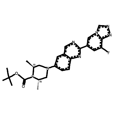 C[C@H]1CN(c2ccc3nc(-c4cc(F)c5nncn5c4)ncc3c2)C[C@H](C)N1C(=O)OC(C)(C)C